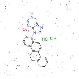 Cl.Cl.O=CC12N=CNC=C1N=CN2c1cccc2c3c(ccc12)C1=C(CCC=C1)CC3